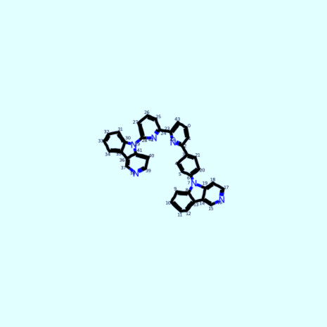 c1cc(-c2ccc(-n3c4ccccc4c4cnccc43)cc2)nc(-c2cccc(-n3c4ccccc4c4cnccc43)n2)c1